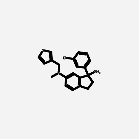 CN(Cc1ccsc1)c1ccc2c(c1)C(N)(c1cccc(Cl)c1)CC2